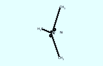 CCCCCCC=CC1=C(c2cccc(CCCCCCCCCCCCCCCCCCCC)c2)[N+](=[N-])C(c2cccc(CCCCCCCCCCCCCCCCCCCC)c2)=C1.[Ni]